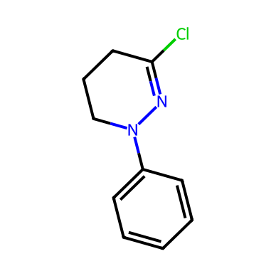 ClC1=NN(c2ccccc2)CCC1